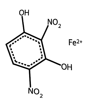 O=[N+]([O-])c1ccc(O)c([N+](=O)[O-])c1O.[Fe+2]